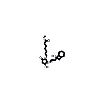 COC(=O)CCCCCC[C@H]1C(=O)C[C@@H](O)[C@@H]1/C=C/CC1(O)CC2CCCCC21